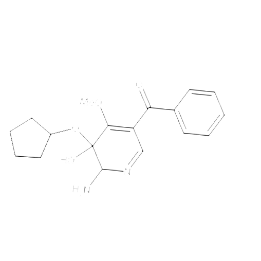 COC1=C(C(=O)c2ccccc2)C=NC(N)C1(O)OC1CCCC1